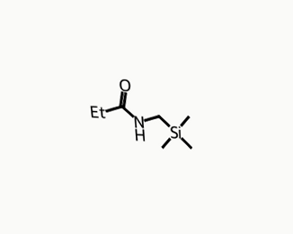 CCC(=O)NC[Si](C)(C)C